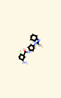 Nc1ccc(F)c(C(=O)Nc2ccc(-n3c(C(F)(F)F)nc4ccccc43)cc2)c1